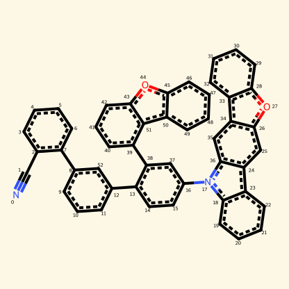 N#Cc1ccccc1-c1cccc(-c2ccc(-n3c4ccccc4c4cc5oc6ccccc6c5cc43)cc2-c2cccc3oc4ccccc4c23)c1